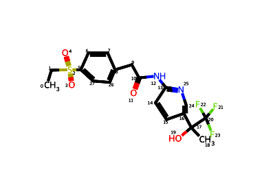 CCS(=O)(=O)c1ccc(CC(=O)Nc2ccc(C(C)(O)C(F)(F)F)cn2)cc1